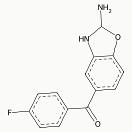 NC1Nc2cc(C(=O)c3ccc(F)cc3)ccc2O1